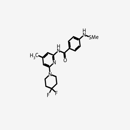 CSNc1ccc(C(=O)Nc2cc(C)cc(N3CCC(F)(F)CC3)n2)cc1